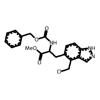 COC(=O)C(Cc1ccc2[nH]ncc2c1CCl)NC(=O)OCc1ccccc1